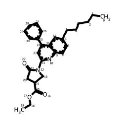 CCCCCCc1ccc2nc(N3CC(C(=O)OCC)CC3=O)cc(-c3ccccc3)c2c1